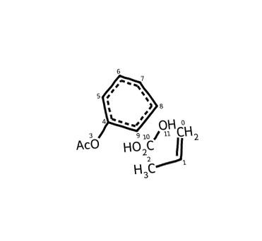 C=CC.CC(=O)Oc1ccccc1.O=C(O)O